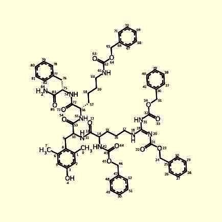 Cc1cc(O)cc(C)c1CC(NC(=O)C(CCCN/C(=N\C(=O)OCc1ccccc1)NC(=O)OCc1ccccc1)NC(=O)OCc1ccccc1)C(=O)N[C@@H](CCCCNC(=O)OCc1ccccc1)C(=O)N[C@@H](Cc1ccccc1)C(N)=O